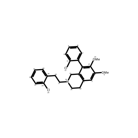 COc1cc2c(c(-c3ccccc3Cl)c1OC)CN(CCc1ccccc1Cl)CC2